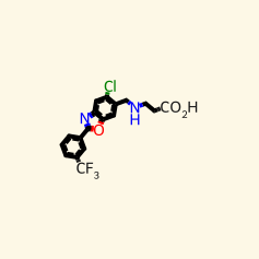 O=C(O)CCNCc1cc2oc(-c3cccc(C(F)(F)F)c3)nc2cc1Cl